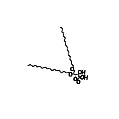 CCCCCCCCCCCCCCCCCCOC[C@H](OCCCCCCCCCCCCCCCCCC)[C@H]1OC(=O)C(O)=C1O